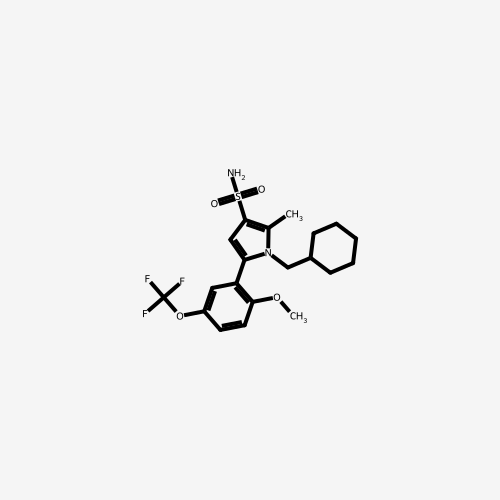 COc1ccc(OC(F)(F)F)cc1-c1cc(S(N)(=O)=O)c(C)n1CC1CCCCC1